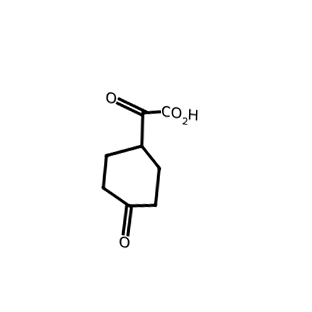 O=C1CCC(C(=O)C(=O)O)CC1